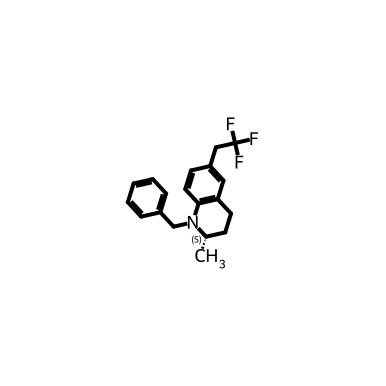 C[C@H]1CCc2cc(CC(F)(F)F)ccc2N1Cc1ccccc1